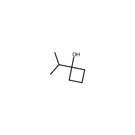 CC(C)C1(O)CCC1